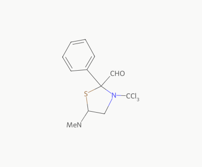 CNC1CN(C(Cl)(Cl)Cl)C(C=O)(c2ccccc2)S1